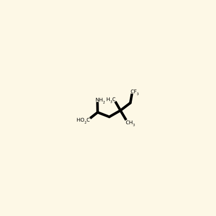 CC(C)(CC(N)C(=O)O)CC(F)(F)F